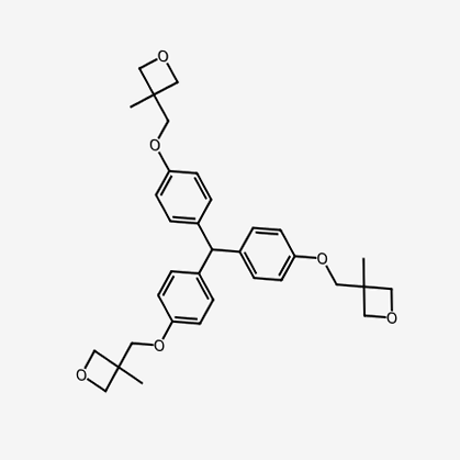 CC1(COc2ccc(C(c3ccc(OCC4(C)COC4)cc3)c3ccc(OCC4(C)COC4)cc3)cc2)COC1